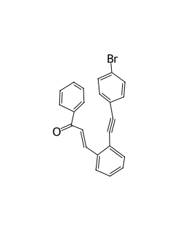 O=C(/C=C/c1ccccc1C#Cc1ccc(Br)cc1)c1ccccc1